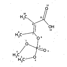 COP(=O)(OC)O/C(C)=C(/C)C(=O)O